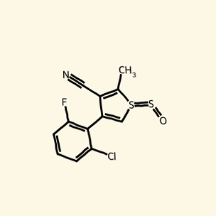 CC1=C(C#N)C(c2c(F)cccc2Cl)=CS1=S=O